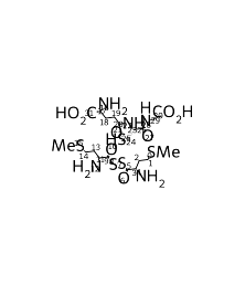 CSCCC(N)C(=O)SSC(=O)C(N)CCSC.N[C@@H](CCC(=O)N[C@@H](CS)C(=O)NCC(=O)O)C(=O)O